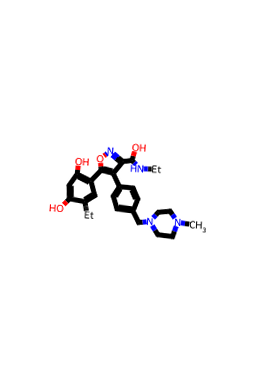 CCNC(O)c1noc(-c2cc(CC)c(O)cc2O)c1-c1ccc(CN2CCN(C)CC2)cc1